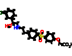 O=C(O)COc1ccc(S(=O)(=O)c2ccc(CCNC[C@@H](O)c3cccc(Cl)c3)cc2)cc1